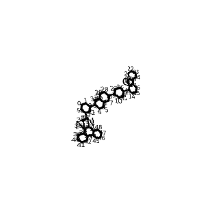 c1cc(-c2ccc3cc(-c4ccc(-c5cccc6c5oc5ccccc56)cc4)ccc3c2)cc(-c2cnc3c4ccccc4c4ccccc4c3n2)c1